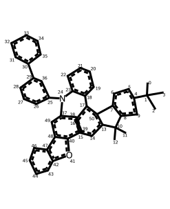 CC(C)(C)c1ccc2c(c1)C(C)(C)c1cccc(-c3ccccc3N(c3cccc(-c4ccccc4)c3)c3ccc4oc5ccccc5c4c3)c1-2